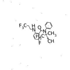 C#CC(C)(C)N(C(=O)c1cc(F)ccc1NCCC(F)(F)F)c1ccccc1